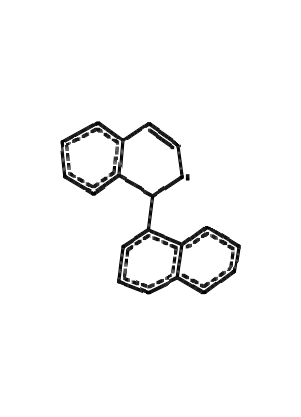 [C]1C=Cc2ccccc2C1c1cccc2ccccc12